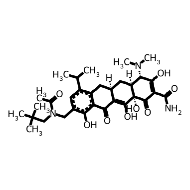 CC(=O)N(Cc1cc(C(C)C)c2c(c1O)C(=O)C1=C(O)[C@]3(O)C(=O)C(C(N)=O)=C(O)[C@@H](N(C)C)[C@@H]3C[C@@H]1C2)CC(C)(C)C